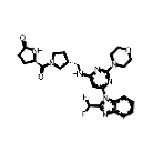 O=C1CC[C@H](C(=O)N2CC[C@H](CNc3cc(-n4c(C(F)F)nc5ccccc54)nc(N4CCOCC4)n3)C2)N1